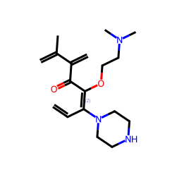 C=C/C(=C(/OCCN(C)C)C(=O)C(=C)C(=C)C)N1CCNCC1